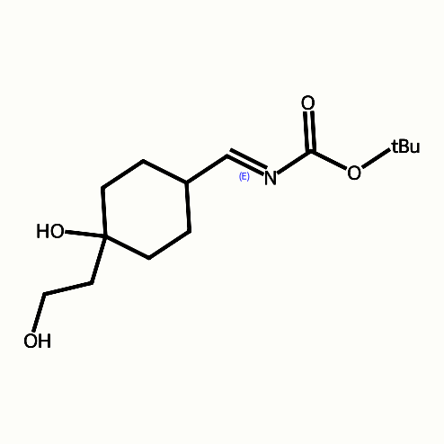 CC(C)(C)OC(=O)/N=C/C1CCC(O)(CCO)CC1